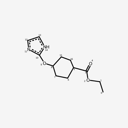 CCOC(=O)C1CCC(Oc2ncc[nH]2)CC1